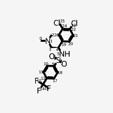 CN(C)C[C@H](NS(=O)(=O)c1ccc(C(F)(F)F)cc1)c1ccc(Cl)c(Cl)c1